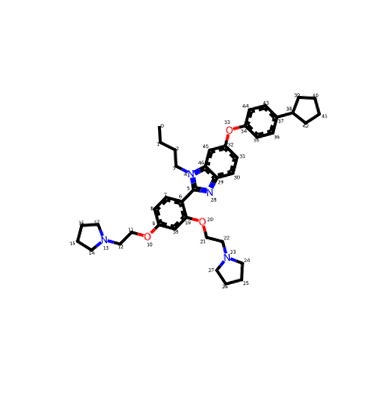 CCCCn1c(-c2ccc(OCCN3CCCC3)cc2OCCN2CCCC2)nc2ccc(Oc3ccc(C4CCCC4)cc3)cc21